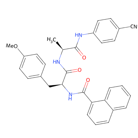 COc1ccc(C[C@H](NC(=O)c2cccc3ccccc23)C(=O)N[C@@H](C)C(=O)Nc2ccc(C#N)cc2)cc1